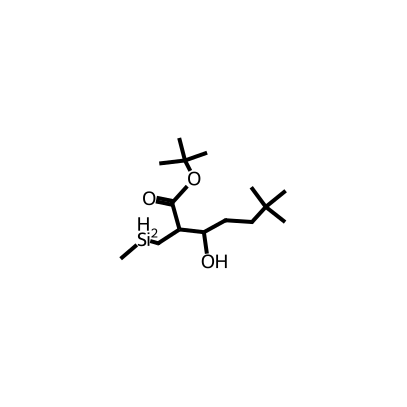 C[SiH2]CC(C(=O)OC(C)(C)C)C(O)CCC(C)(C)C